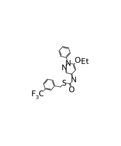 CCOc1cc(=NC(=O)SCc2cccc(C(F)(F)F)c2)cnn1-c1ccccc1